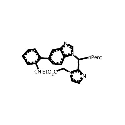 CCCCCC(c1nccn1CC(=O)OCC)n1cnc2cc(-c3ccccc3C#N)ccc21